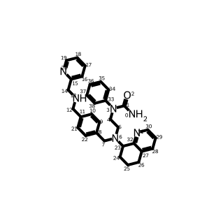 NC(=O)N(CCN(Cc1ccc(CNCc2ccccn2)cc1)C1CCCc2cccnc21)c1ccccc1